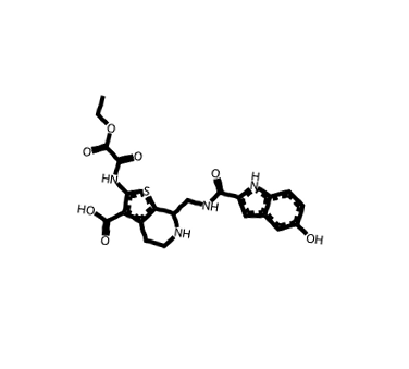 CCOC(=O)C(=O)Nc1sc2c(c1C(=O)O)CCNC2CNC(=O)c1cc2cc(O)ccc2[nH]1